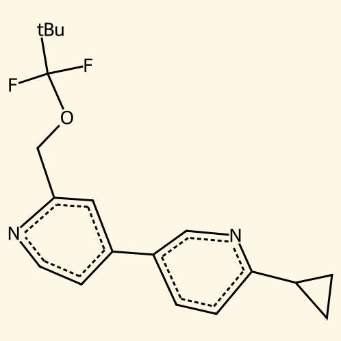 CC(C)(C)C(F)(F)OCc1cc(-c2ccc(C3CC3)nc2)ccn1